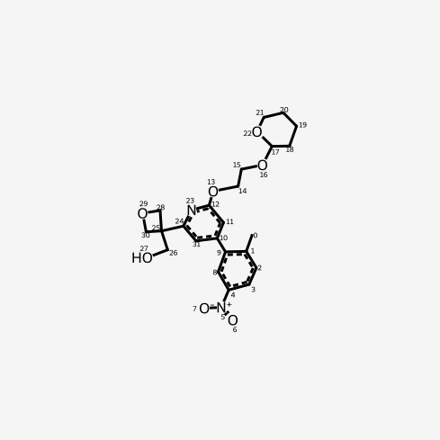 Cc1ccc([N+](=O)[O-])cc1-c1cc(OCCOC2CCCCO2)nc(C2(CO)COC2)c1